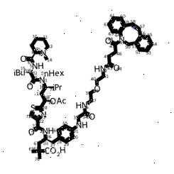 CCCCCCN(C(=O)[C@@H](NC(=O)[C@H]1CCCCN1C)[C@@H](C)CC)[C@H](C[C@@H](OC(C)=O)c1nc(C(=O)N[C@@H](Cc2ccc(NCC(=O)NCCOCCNC(=O)CCC(=O)N3Cc4ccccc4/C=C\c4ccccc43)cc2)CC(C)(C)C(=O)O)cs1)C(C)C